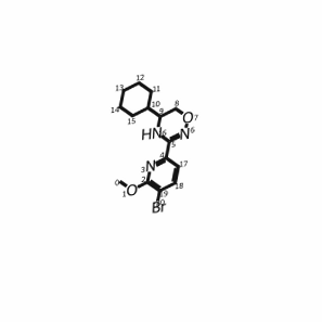 COc1nc(C2=NOCC(C3CCCCC3)N2)ccc1Br